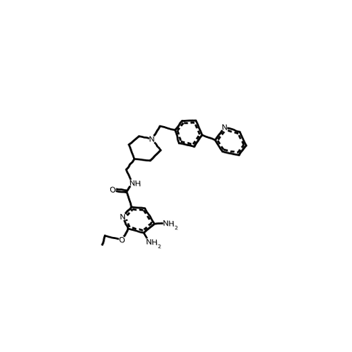 CCOc1nc(C(=O)NCC2CCN(Cc3ccc(-c4ccccn4)cc3)CC2)cc(N)c1N